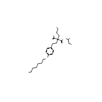 CCCCCCCOc1ccc(CCC(CCCC)(C(=O)O)C(=O)OC(C)CC)cc1